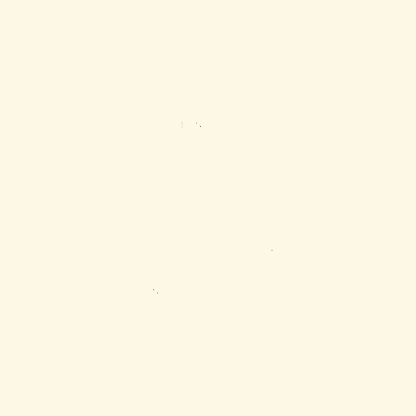 NCC(=O)Oc1cc(C(O)CN)ccc1O